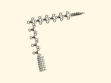 [O-]B([O-])[O-].[O-]B([O-])[O-].[O-]B([O-])[O-].[O-]B([O-])[O-].[O-]B([O-])[O-].[O-]B([O-])[O-].[O-]B([O-])[O-].[O-]B([O-])[O-].[O-]B([O-])[O-].[O-]B([O-])[O-].[Sn+4].[Sn+4].[Sn+4].[Zn+2].[Zn+2].[Zn+2].[Zn+2].[Zn+2].[Zn+2].[Zn+2].[Zn+2].[Zn+2]